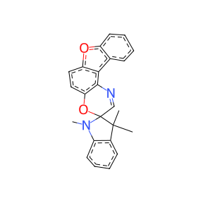 CN1c2ccccc2C(C)(C)C12C=Nc1c(ccc3oc4ccccc4c13)O2